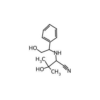 CC(C)(O)C(C#N)NC(CO)c1ccccc1